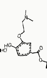 CCOC(=O)c1ccc(O)c(OCCN(C)C)c1.Cl